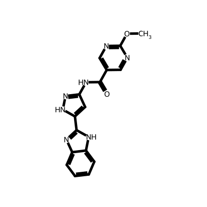 COc1ncc(C(=O)Nc2cc(-c3nc4ccccc4[nH]3)[nH]n2)cn1